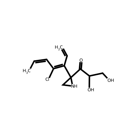 C=C/C(=C(Cl)\C=C/C)C1(C(=O)C(O)CO)CN1